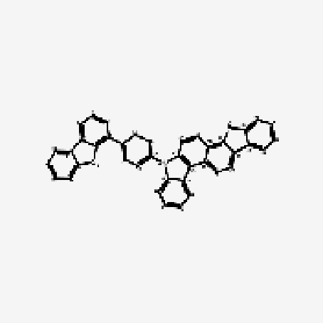 C1=C(c2cccc3c2sc2ccccc23)CCC(n2c3ccccc3c3c4ccc5c6ccccc6sc5c4ccc32)=C1